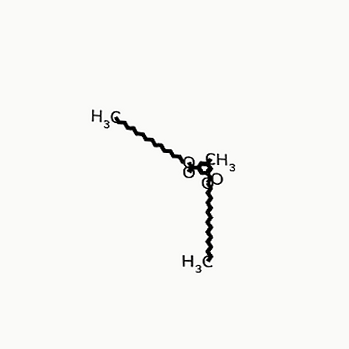 CCCCCCCCCCCCCCCCOC(=O)c1cc(C)cc(C(=O)OCCCCCCCCCCCCCCCC)c1